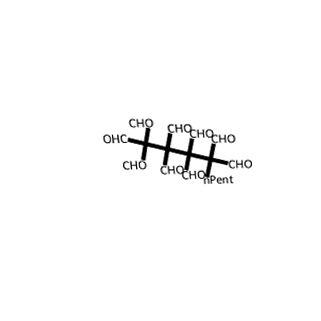 CCCCCC(C=O)(C=O)C(C=O)(C=O)C(C=O)(C=O)C(C=O)(C=O)C=O